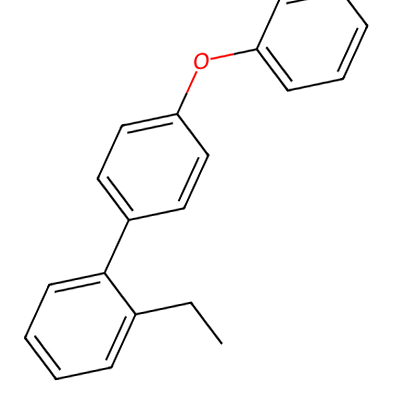 CCc1ccccc1-c1ccc(Oc2ccccc2)cc1